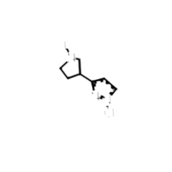 Cn1ccc(C2CCN(I)C2)n1